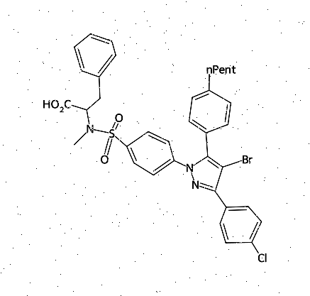 CCCCCc1ccc(-c2c(Br)c(-c3ccc(Cl)cc3)nn2-c2ccc(S(=O)(=O)N(C)C(Cc3ccccc3)C(=O)O)cc2)cc1